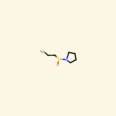 CCC[S+]([O-])N1CCCC1